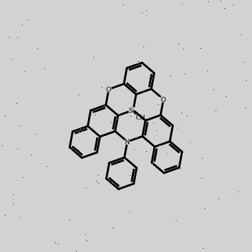 C[Si]12c3c4cccc3Oc3cc5ccccc5c(c31)N(c1ccccc1)c1c2c(cc2ccccc12)O4